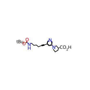 CC(C)(C)OC(=O)NCCCCC#Cc1cncc(N2CCC[C@H](C(=O)O)C2)c1